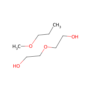 CCCOC.OCCOCCO